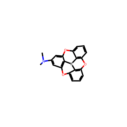 CN(C)c1cc2c3c(c1)Oc1cccc4c1B3c1c(cccc1O2)O4